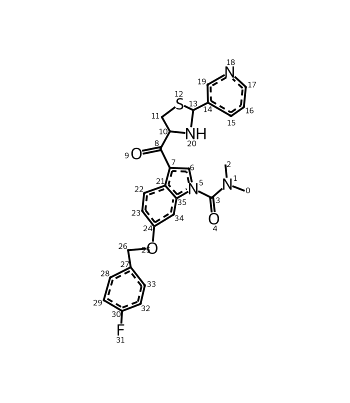 CN(C)C(=O)n1cc(C(=O)C2CSC(c3cccnc3)N2)c2ccc(OCc3ccc(F)cc3)cc21